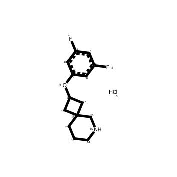 Cl.Fc1cc(F)cc(OC2CC3(CCCNC3)C2)c1